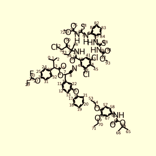 CC(C)C(C(=O)OC(C#N)c1cccc(Oc2ccccc2)c1)c1ccc(OC(F)F)cc1.CCC(C)(NC(=O)c1cc(Cl)c(C)c(Cl)c1)C(=O)CCl.CCOc1ccc(NC(=O)OC(C)C)cc1OCC.COC(=O)NC(=S)Nc1ccccc1NC(=S)NC(=O)OC